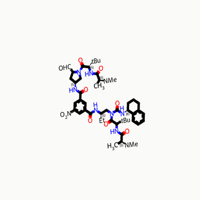 CC[C@@H](CN(C(=O)N[C@@H]1CCCc2ccccc21)C(=O)C(NC(=O)[C@H](C)NC)C(C)(C)C)NC(=O)c1cc(C(=O)N[C@H]2CC(C=O)N(C(=O)[C@@H](NC(=O)[C@H](C)NC)C(C)(C)C)C2)cc([N+](=O)[O-])c1